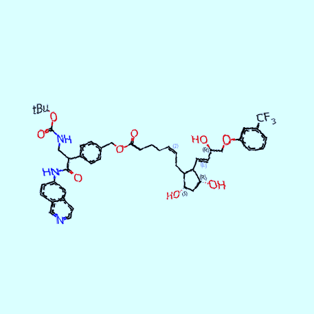 CC(C)(C)OC(=O)NCC(C(=O)Nc1ccc2cnccc2c1)c1ccc(COC(=O)CCC/C=C\CC2C(/C=C/[C@@H](O)COc3cccc(C(F)(F)F)c3)[C@H](O)C[C@@H]2O)cc1